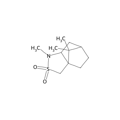 CN1C2CC3CCC2(CS1(=O)=O)C3(C)C